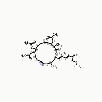 CCCC(C)/C=C/C(C)=C/C1CC(C)C/C=C/CCC(OC(C)=O)C(OC(N)=O)CCC(C)CC(OC(C)=O)C(C)C(=O)O1